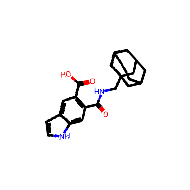 O=C(O)c1cc2cc[nH]c2cc1C(=O)NCC12CC3CC(CC(C3)C1)C2